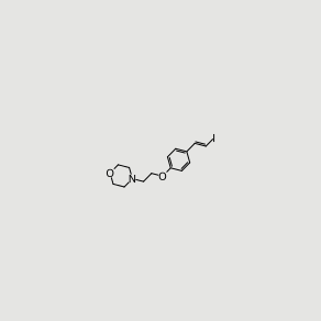 I/C=C/c1ccc(OCCN2CCOCC2)cc1